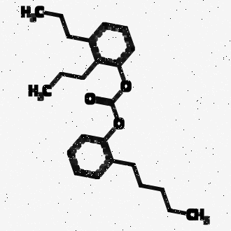 CCCCCc1ccccc1OC(=O)Oc1cccc(CCC)c1CCC